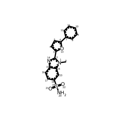 Cn1c(-c2ccc(-c3ccccc3)o2)nc2ccc(S(N)(=O)=O)cc21